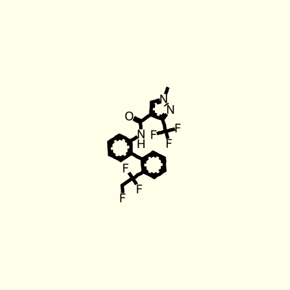 Cn1cc(C(=O)Nc2ccccc2-c2ccccc2C(F)(F)CF)c(C(F)(F)F)n1